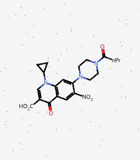 CCCC(=O)N1CCN(c2cc3c(cc2[N+](=O)[O-])c(=O)c(C(=O)O)cn3C2CC2)CC1